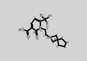 O=C(O)c1ccc(C(F)(F)F)n(CCN2CC3(CCCC3)C2)c1=O